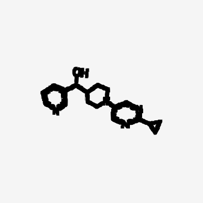 O[C@H](c1cccnc1)C1CCN(c2cnc(C3CC3)nc2)CC1